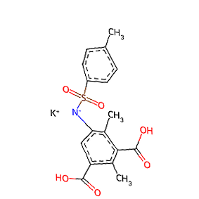 Cc1ccc(S(=O)(=O)[N-]c2cc(C(=O)O)c(C)c(C(=O)O)c2C)cc1.[K+]